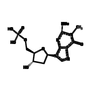 CNc1nc2c(ncn2[C@H]2C[C@H](O)[C@@H](COP(=O)(O)O)O2)c(=O)n1C